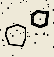 C1CCCCCC1.c1ccccc1